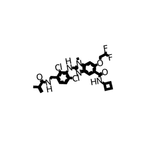 C=C(C)C(=O)NCc1ccc(Cl)c(Nc2nc3cc(C(=O)NC4CCC4)c(OCC(F)F)cc3n2C)c1Cl